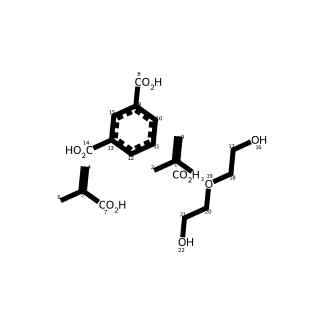 C=C(C)C(=O)O.C=C(C)C(=O)O.O=C(O)c1cccc(C(=O)O)c1.OCCOCCO